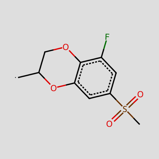 [CH2]C1COc2c(F)cc(S(C)(=O)=O)cc2O1